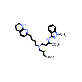 COCC(F)CN(CCCCc1ccc2c(n1)NCCC2)CCC(Nc1nn(C)c2ccccc12)C(=O)O